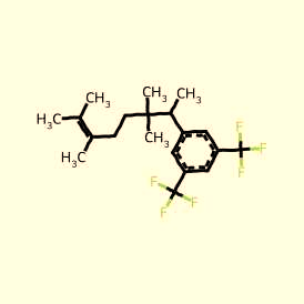 CC(C)=C(C)CCC(C)(C)C(C)c1cc(C(F)(F)F)cc(C(F)(F)F)c1